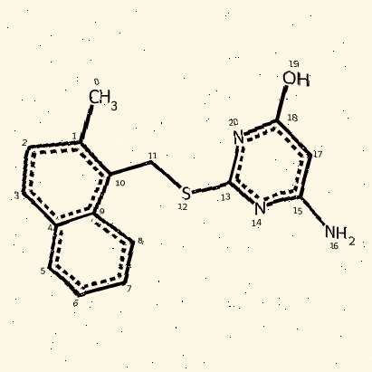 Cc1ccc2ccccc2c1CSc1nc(N)cc(O)n1